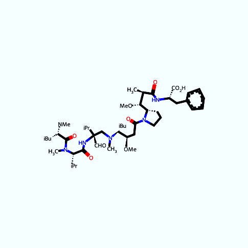 CC[C@H](C)[C@@H]([C@@H](CC(=O)N1CCC[C@H]1[C@H](OC)[C@@H](C)C(=O)N[C@@H](Cc1ccccc1)C(=O)O)OC)N(C)C[C@](C=O)(NC(=O)[C@H](C(C)C)N(C)C(=O)[C@@H](NC)[C@@H](C)CC)C(C)C